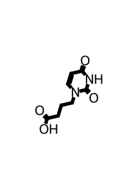 O=C(O)CCCn1ccc(=O)[nH]c1=O